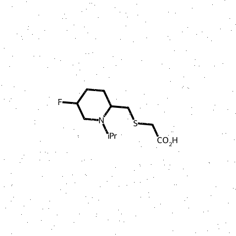 CC(C)N1CC(F)CCC1CSCC(=O)O